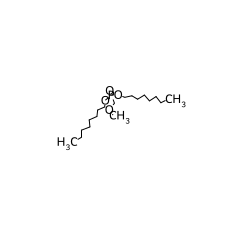 CCCCCCCCOP(=O)(COC)OCCCCCCCC